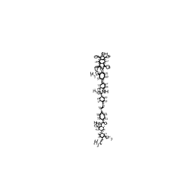 Cc1ccc(-c2ccc(NC(=O)c3ccc(/C=C/c4ccc(C(=O)Nc5ccc(-c6ccc(-n7c(=O)c8cc9c(=O)n(C)c(=O)c9cc8c7=O)c(C)c6)cc5C)cc4)cc3)c(C)c2)cc1C